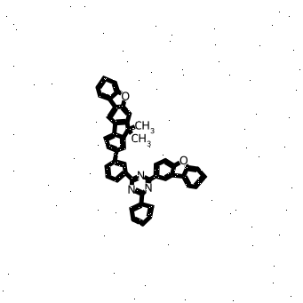 CC1(C)c2cc(-c3cccc(-c4nc(-c5ccccc5)nc(-c5ccc6oc7ccccc7c6c5)n4)c3)ccc2-c2cc3c(cc21)oc1ccccc13